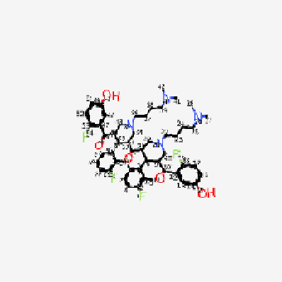 Cc1c(F)cccc1C1C(C(=O)c2cc(O)ccc2F)CN(CCCCN(C)C)CC1C(=O)[C@@H]1CN(CCCCN(C)C)C[C@H](C(=O)c2cc(O)ccc2F)[C@@H]1c1cccc(F)c1C